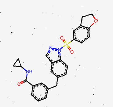 O=C(NC1CC1)c1cccc(Cc2ccc3c(cnn3S(=O)(=O)c3ccc4c(c3)CCO4)c2)c1